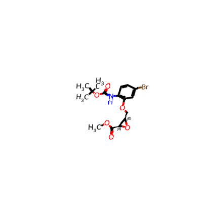 COC(=O)[C@@H]1O[C@@H]1COc1cc(Br)ccc1NC(=O)OC(C)(C)C